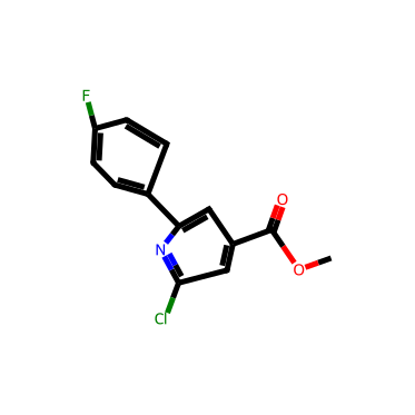 COC(=O)c1cc(Cl)nc(-c2ccc(F)cc2)c1